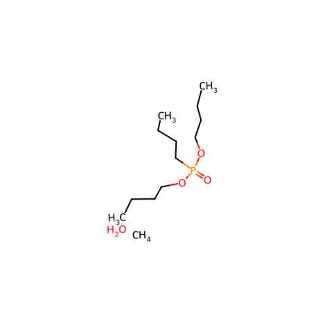 C.CCCCOP(=O)(CCCC)OCCCC.O